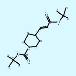 CC(C)(C)OC(=O)C=CC1CCN(C(=O)OC(C)(C)C)CC1